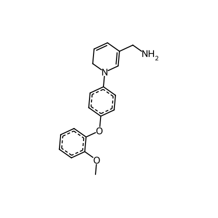 COc1ccccc1Oc1ccc(N2C=C(CN)C=CC2)cc1